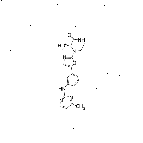 Cc1ccnc(Nc2cccc(-c3cnc(N4CCNC(=O)[C@@H]4C)o3)c2)n1